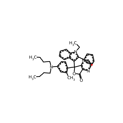 CCCCN(CCCC)c1ccc(C2(c3c(-c4ccccc4)n(CC)c4ccccc34)OC(=O)c3nccnc32)c(C)c1